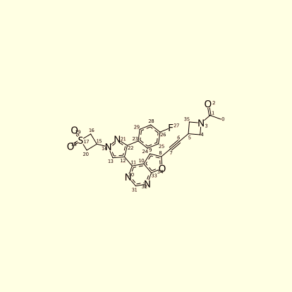 CC(=O)N1CC(C#Cc2cc3c(-c4cn(C5CS(=O)(=O)C5)nc4-c4ccc(F)cc4)ncnc3o2)C1